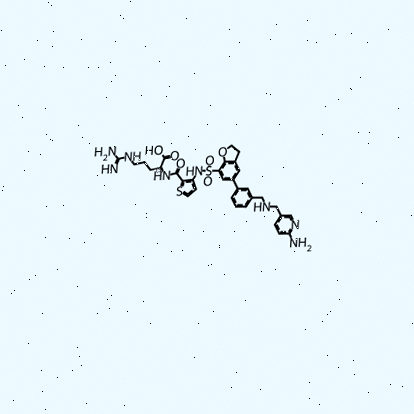 N=C(N)NCCC[C@H](NC(=O)c1sccc1NS(=O)(=O)c1cc(-c2cccc(CNCc3ccc(N)nc3)c2)cc2c1OCC2)C(=O)O